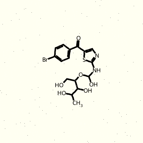 CC(O)C(O)C(CO)OC(O)Nc1ncc(C(=O)c2ccc(Br)cc2)s1